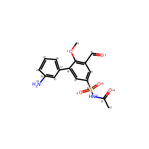 COc1c(C=O)cc(S(=O)(=O)NC(C)=O)cc1-c1cccc(N)c1